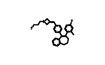 Cc1cc(F)ccc1C1=C(c2ccc(C=C3CN(CCCF)C3)cc2)c2ccccc2CCC1